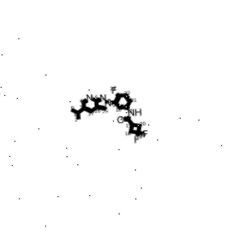 CC(C)c1cnc2nn(-c3cc(NC(=O)C4CC(F)(F)C4)ccc3F)cc2c1